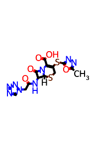 Cc1nnc(SC2=C(C(=O)O)N3C(=O)C(NC(=O)Cn4cnnn4)[C@@H]3SC2)o1